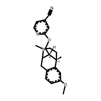 COc1ccc2c(c1)[C@@]1(C)CCN(C)C(C2)[C@@H]1COc1cc(C#N)ccn1